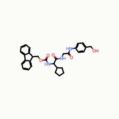 O=C(CNC(=O)C(NC(=O)OCC1c2ccccc2-c2ccccc21)C1CCCC1)Nc1ccc(CO)cc1